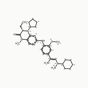 CC[C@@H]1C(=O)N(C)c2cnc(Nc3ccc(/C(N)=C/N(N)C4CCCCC4)cc3OC)nc2N1C1CCCC1